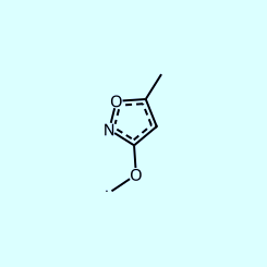 [CH2]Oc1cc(C)on1